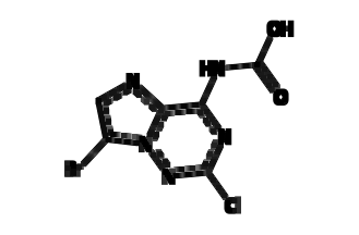 O=C(O)Nc1nc(Cl)nn2c(Br)cnc12